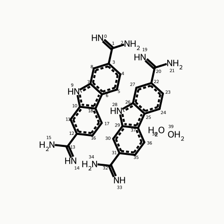 N=C(N)c1ccc2c(c1)[nH]c1cc(C(=N)N)ccc12.N=C(N)c1ccc2c(c1)[nH]c1cc(C(=N)N)ccc12.O.O